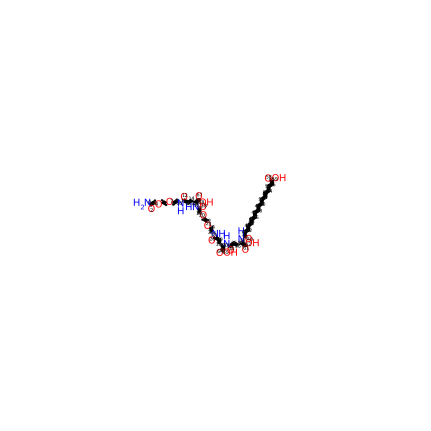 NC(=O)COCCOCCNC(=O)CC[C@H](NC(=O)COCCOCCNC(=O)CC[C@H](NC(=O)CC[C@H](NC(=O)CCCCCCCCCCCCCCCCC(=O)O)C(=O)O)C(=O)O)C(=O)O